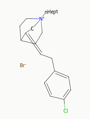 CCCCCCC[N+]12CCC(CC1)/C(=C/Cc1ccc(Cl)cc1)C2.[Br-]